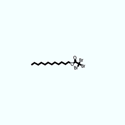 CCCCCCCCCCCCOC(=O)C(Br)(Br)Br